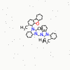 Cc1ccccc1N1c2ccccc2N(CN2c3ccccc3N(c3c(C)ccc4c3oc3ccccc34)[C@H]2C)[C@H]1C